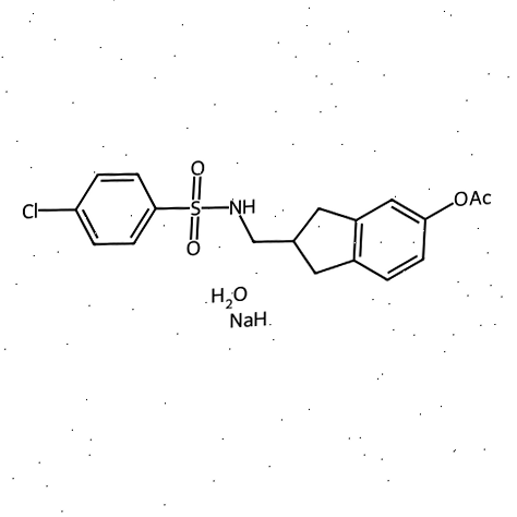 CC(=O)Oc1ccc2c(c1)CC(CNS(=O)(=O)c1ccc(Cl)cc1)C2.O.[NaH]